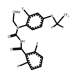 COCN(C(=O)NC(=O)c1c(F)cccc1F)c1ccc(SC(F)(F)C(F)(F)F)cc1F